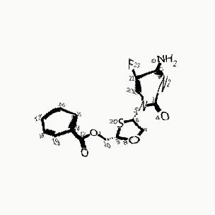 Nc1nc(=O)n([C@@H]2CO[C@H](COC(=O)c3ccccc3)S2)cc1F